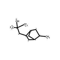 CC1CC2CC1CC2CC(O)(C(F)(F)F)C(F)(F)F